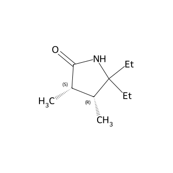 CCC1(CC)NC(=O)[C@@H](C)[C@H]1C